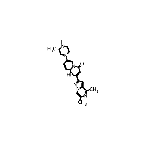 Cc1cn2nc(C3=CC(=O)N4C=C(N5CCN[C@@H](C)C5)C=CC4P3)cc2c(C)n1